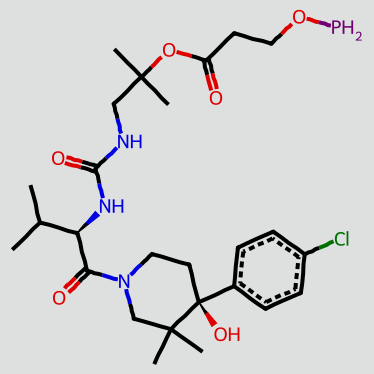 CC(C)[C@@H](NC(=O)NCC(C)(C)OC(=O)CCOP)C(=O)N1CC[C@](O)(c2ccc(Cl)cc2)C(C)(C)C1